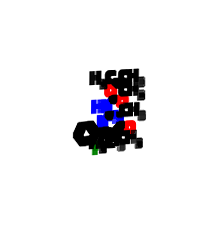 CN1C(=O)C(C)(C)[C@@](C)(c2ccccc2F)N=C1NC(=O)OC(C)(C)C